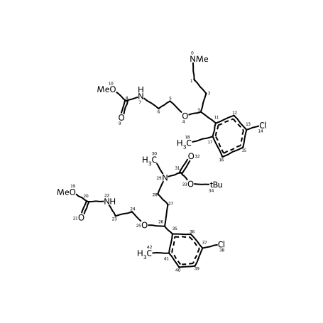 CNCCC(OCCNC(=O)OC)c1cc(Cl)ccc1C.COC(=O)NCCOC(CCN(C)C(=O)OC(C)(C)C)c1cc(Cl)ccc1C